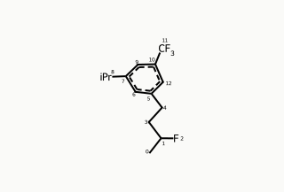 CC(F)CCc1cc(C(C)C)cc(C(F)(F)F)c1